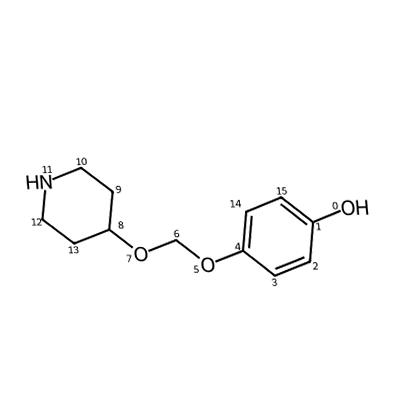 Oc1ccc(OCOC2CCNCC2)cc1